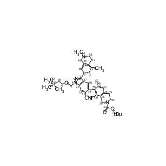 Cc1cc(-c2nn(COCC[Si](C)(C)C)c3cc(C#N)c(-c4c(F)cc5c(c4F)CN(C(=O)OC(C)(C)C)CC5)cc23)cc2c1CCN(C)C2